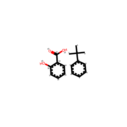 CC(C)(C)c1ccccc1.O=C(O)c1ccccc1O